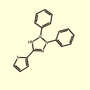 c1ccc(N2N=C(c3cccs3)NN2c2ccccc2)cc1